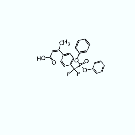 C/C(=C/C(=O)O)c1ccc(C(F)(F)P(=O)(Oc2ccccc2)Oc2ccccc2)cc1